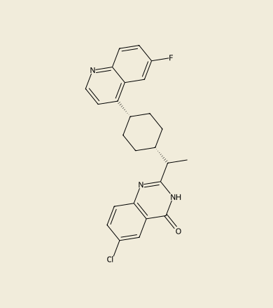 CC(c1nc2ccc(Cl)cc2c(=O)[nH]1)[C@H]1CC[C@@H](c2ccnc3ccc(F)cc32)CC1